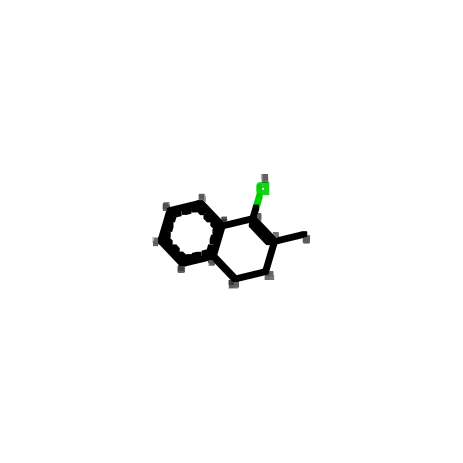 CC1=C(Cl)c2ccccc2CC1